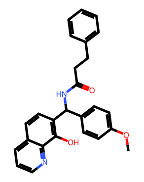 COc1ccc(C(NC(=O)CCc2ccccc2)c2ccc3cccnc3c2O)cc1